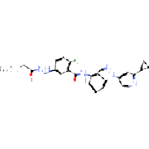 COCC(=O)NCc1ccc(Cl)c(C(=O)Nc2cccc3c2cnn3-c2ccnc(C3CC3)c2)c1